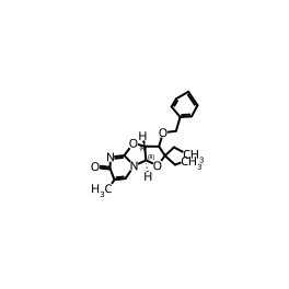 CCC1(CC)O[C@@H]2[C@H](Oc3nc(=O)c(C)cn32)C1OCc1ccccc1